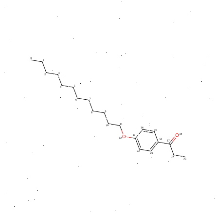 CCCCCCCCCCCCOc1ccc(C(=O)CC)cc1